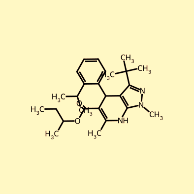 CCC(C)OC(=O)C1=C(C)Nc2c(c(C(C)(C)C)nn2C)C1c1ccccc1C(C)C